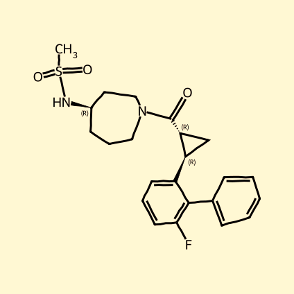 CS(=O)(=O)N[C@@H]1CCCN(C(=O)[C@@H]2C[C@H]2c2cccc(F)c2-c2ccccc2)CC1